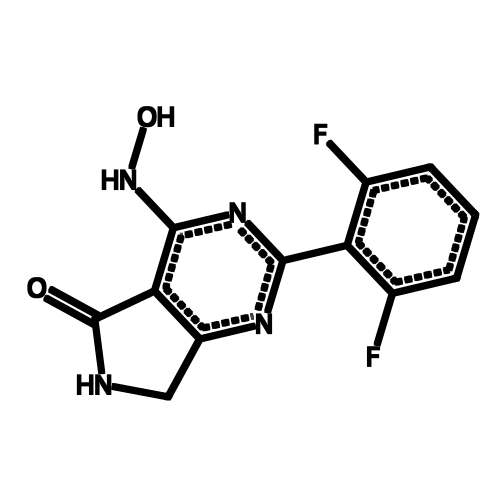 O=C1NCc2nc(-c3c(F)cccc3F)nc(NO)c21